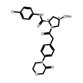 CO[C@@H]1C[C@H](C(=O)Nc2ccc(Cl)cc2)N(C(=O)Cc2ccc(N3CCOCC3=O)cc2)C1